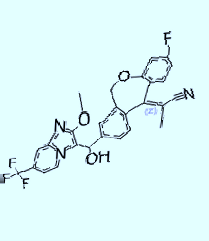 COc1nc2cc(C(F)(F)F)ccn2c1C(O)c1ccc2c(c1)COc1cc(F)ccc1/C2=C(/C)C#N